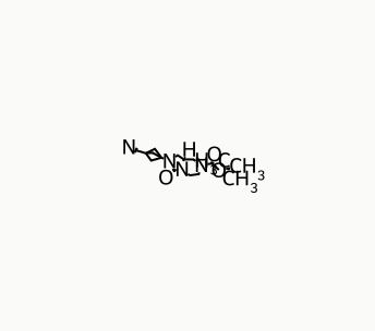 CC(C)(C)OC(=O)N1CCN2C(=O)N(C34CC(C#N)(C3)C4)C[C@@H]2C1